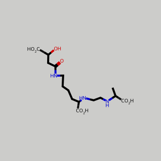 CC(NCCNC(CCCCNC(=O)CC(O)C(=O)O)C(=O)O)C(=O)O